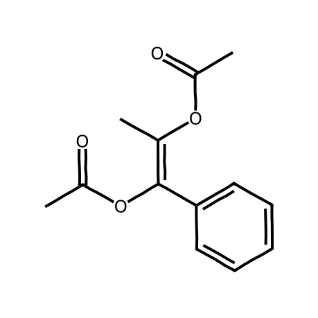 CC(=O)OC(C)=C(OC(C)=O)c1ccccc1